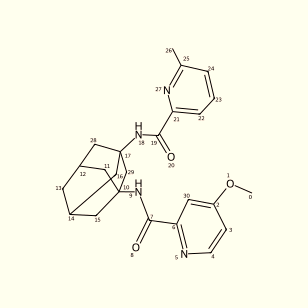 COc1ccnc(C(=O)NC23CC4CC(C2)CC(NC(=O)c2cccc(C)n2)(C4)C3)c1